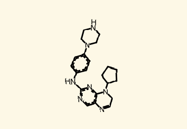 C1=Nc2cnc(Nc3ccc(N4CCNCC4)cc3)nc2N(C2CCCC2)C1